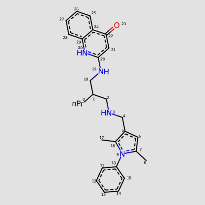 CCCC(CNCc1cc(C)n(-c2ccccc2)c1C)CNc1cc(=O)c2ccccc2[nH]1